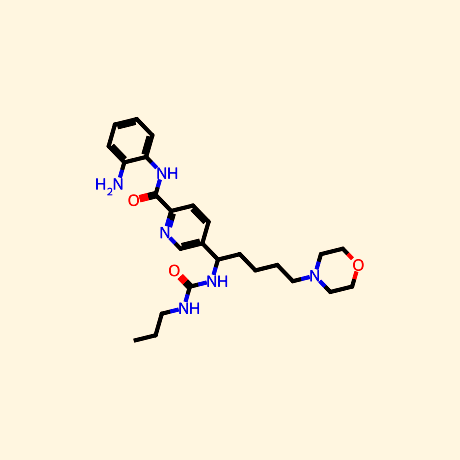 CCCNC(=O)NC(CCCCN1CCOCC1)c1ccc(C(=O)Nc2ccccc2N)nc1